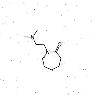 CN(C)CCN1CCCCCC1=O